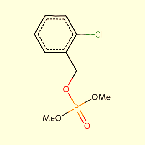 COP(=O)(OC)OCc1ccccc1Cl